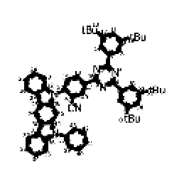 CC(C)(C)c1cc(-c2nc(-c3cc(C(C)(C)C)cc(C(C)(C)C)c3)nc(-c3ccc(-n4c5ccccc5c5cc6c7ccccc7n(-c7ccccc7)c6cc54)c(C#N)c3)n2)cc(C(C)(C)C)c1